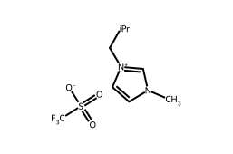 CC(C)C[n+]1ccn(C)c1.O=S(=O)([O-])C(F)(F)F